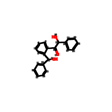 O=C(c1ccccc1C(O)c1ccccc1)C(O)c1ccccc1